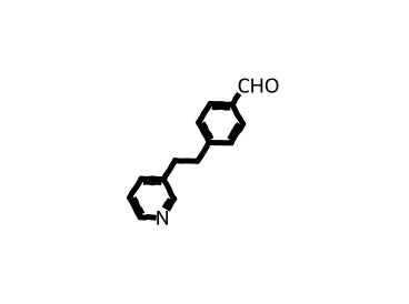 O=Cc1ccc(CCc2cccnc2)cc1